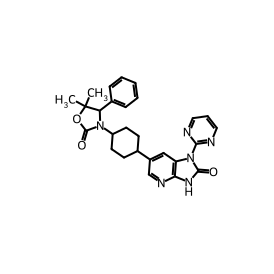 CC1(C)OC(=O)N(C2CCC(c3cnc4[nH]c(=O)n(-c5ncccn5)c4c3)CC2)C1c1ccccc1